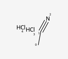 CC#N.Cl.Cl